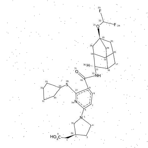 O=C(O)C[C@@H]1CCN(c2ccc(C(=O)N[C@H]3C4CC5CC3C[C@@](OC(F)F)(C5)C4)c(SC3CCCC3)n2)C1